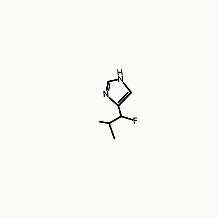 CC(C)C(F)c1c[nH]cn1